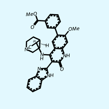 COC(=O)c1cccc(-c2cc3c(N[C@H]4CN5CCC4CC5)c(-c4nc5ccccc5[nH]4)c(=O)[nH]c3cc2OC)c1